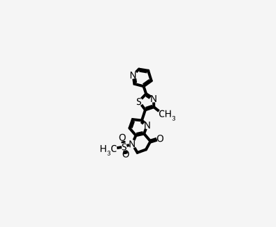 Cc1nc(-c2cccnc2)sc1-c1ccc2c(n1)C(=O)CCN2S(C)(=O)=O